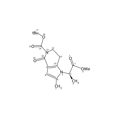 COC(=O)[C@@H](C)n1c(C)cc2c1CCN(C(=O)OC(C)(C)C)C2=O